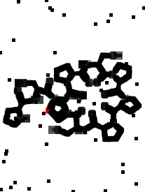 O=C(N[C@@H](CO)C(=O)N1CCC[C@H]1C(=O)N1CCC[C@H]1C(=O)N[C@@H](CO)C(=O)N1CCC[C@H]1C(=O)N1CCC[C@H]1C(=O)N1CCC[C@H]1C(=O)N[C@@H](CO)C(=O)N1CCC[C@H]1C(=O)O)[C@@H]1CCCN1